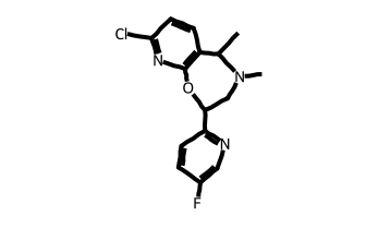 CC1c2ccc(Cl)nc2OC(c2ccc(F)cn2)CN1C